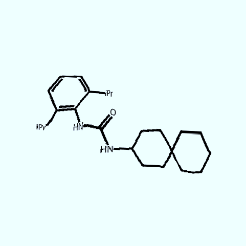 CC(C)c1cccc(C(C)C)c1NC(=O)NC1CCC2(CCCCC2)CC1